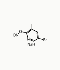 Cc1cc(Br)cnc1ON=O.[NaH]